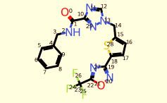 O=C(NCc1ccccc1)c1ncn(Cc2ccc(-c3noc(C(F)(F)F)n3)s2)n1